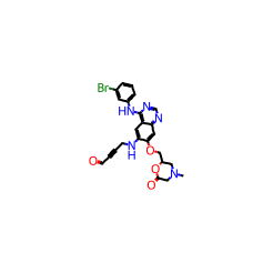 CN1CC(=O)OC(COc2cc3ncnc(Nc4cccc(Br)c4)c3cc2NCC#CC=O)C1